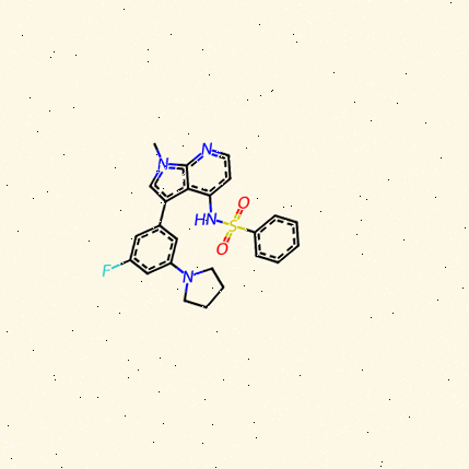 Cn1cc(-c2cc(F)cc(N3CCCC3)c2)c2c(NS(=O)(=O)c3ccccc3)ccnc21